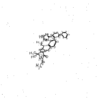 CCCc1nc(C(C)(C)O)c(C(=O)OCC)n1Cc1ccc(-c2cc(-c3ccccc3)ccc2-c2nn[nH]n2)cc1